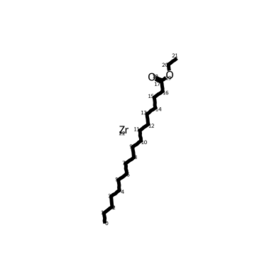 CCCCCCCCCCCCCCCCCC(=O)OCC.[Zr]